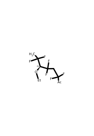 CCO[C@@H](C(C)(F)F)C(F)(F)CC(F)(F)C(C)=O